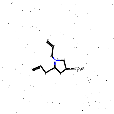 C=CCC1CC(C(=O)OCC)CN1CC=C